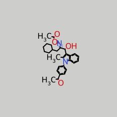 CC(=O)O/N=C(\CC1CCCCC1)C(O)c1c(C)n(-c2ccc(C(C)=O)cc2)c2ccccc12